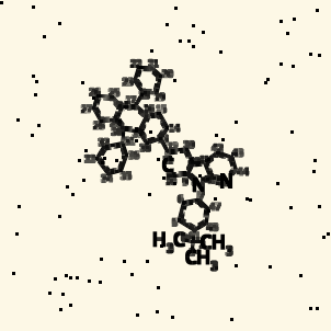 CC(C)(C)c1ccc(-n2c3ccc(-c4ccc5c(-c6ccccc6)c6ccccc6c(-c6ccccc6)c5c4)cc3c3cccnc32)cc1